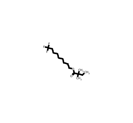 CCC(C)(C)C(=O)OCCCCCCCCC(F)(F)F